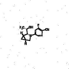 N#Cc1ccc(N2C[C@@H]3C[C@@H]3[C@@H]2[C@@H](O)C(F)(F)F)cc1F